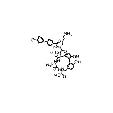 CN(C(=O)[C@H](CCCCN)NC(=O)c1ccc(-c2ccc(Cl)cc2)cc1)[C@@H]1C(=O)N[C@@H](N)C(=O)N[C@H](C(=O)O)Cc2ccc(O)c(c2)-c2cc1ccc2O